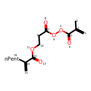 C=C(C)C(=O)OOC(=O)CCOC(=O)C(=C)CCCCC